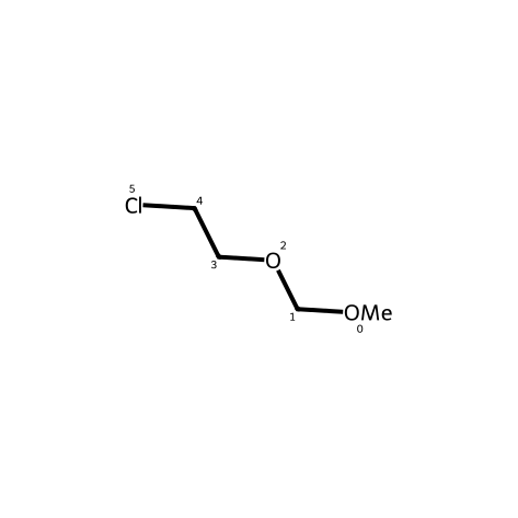 COCOCCCl